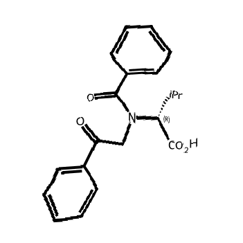 CC(C)[C@H](C(=O)O)N(CC(=O)c1ccccc1)C(=O)c1ccccc1